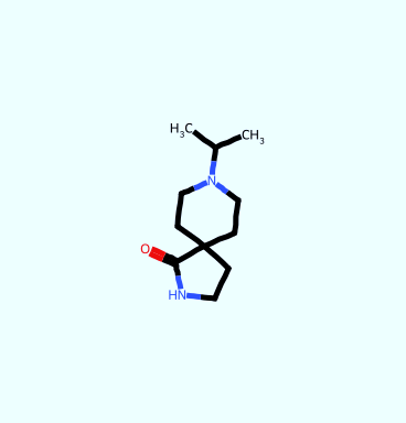 CC(C)N1CCC2(CCNC2=O)CC1